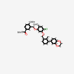 COC(=O)c1ccc(OC)c(COc2cc(OCc3cccc(-c4ccc5c(c4)OCCO5)c3C)c(Cl)cc2C=O)c1